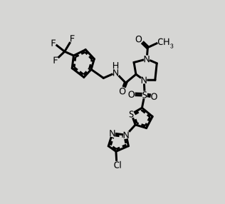 CC(=O)N1CCN(S(=O)(=O)c2ccc(-n3cc(Cl)cn3)s2)C(C(=O)NCc2ccc(C(F)(F)F)cc2)C1